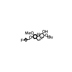 COc1cc2c(cc1OCC13CC(F)(C1)C3)CCN1C[C@@H](OC(C)(C)C)[C@H](O)C[C@H]21